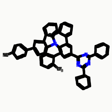 N#Cc1ccc(-c2ccc3c(c2)c2ccccc2n3-c2c(-c3ccccc3C(F)(F)F)cc(-c3nc(-c4ccccc4)nc(-c4ccccc4)n3)cc2-c2ccccc2C(F)(F)F)cc1